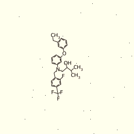 CCc1cccc(Oc2cccc(N(Cc3ccc(C(F)(F)F)cc3F)CC(O)C(C)C)c2)c1